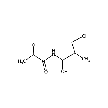 CC(O)C(=O)NC(O)C(C)CO